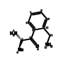 CC[C@H](C)[C@H](N)C(=O)c1ccccc1CN